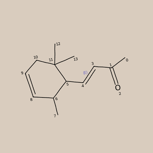 CC(=O)/C=C/C1C(C)C=CCC1(C)C